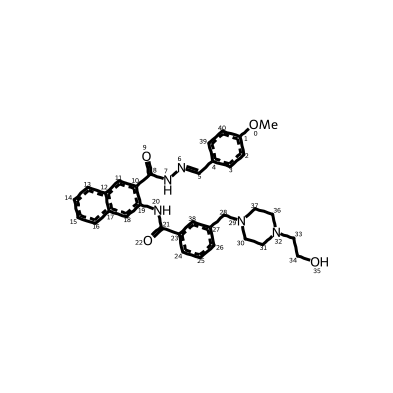 COc1ccc(C=NNC(=O)c2cc3ccccc3cc2NC(=O)c2cccc(CN3CCN(CCO)CC3)c2)cc1